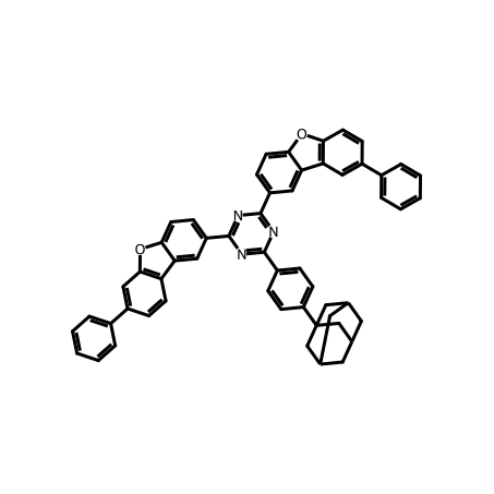 c1ccc(-c2ccc3c(c2)oc2ccc(-c4nc(-c5ccc(C67CC8CC(CC(C8)C6)C7)cc5)nc(-c5ccc6oc7ccc(-c8ccccc8)cc7c6c5)n4)cc23)cc1